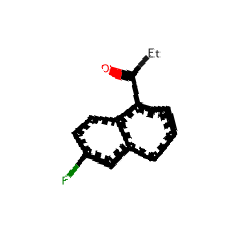 CCC(=O)c1cccc2cc(F)ccc12